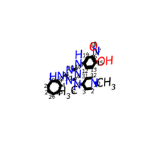 CN1CCC(N(C)c2nc(Nc3ccc(O)c(N=O)c3)nc(NC3CCCCCC3)n2)CC1